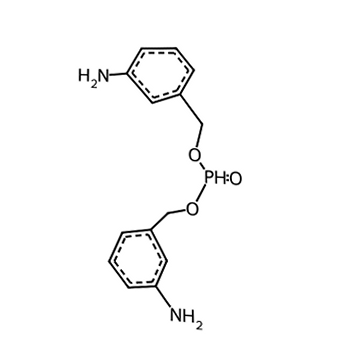 Nc1cccc(CO[PH](=O)OCc2cccc(N)c2)c1